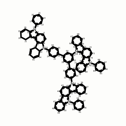 C1=CC2c3c(ccc4c3c3c(n4-c4ccccc4)C=CCC3)N(c3ccc(-c4cc(-c5ccc(-n6c7ccccc7c7c6ccc6c8ccccc8n(-c8ccccc8)c67)cc5)cc(-n5c6ccccc6c6ccc7c(c8ccccc8n7-c7ccccc7)c65)c4)cc3)C2C=C1